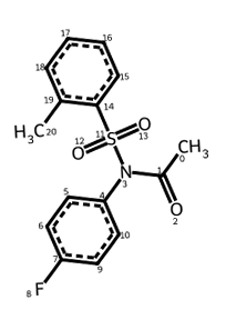 CC(=O)N(c1ccc(F)cc1)S(=O)(=O)c1ccccc1C